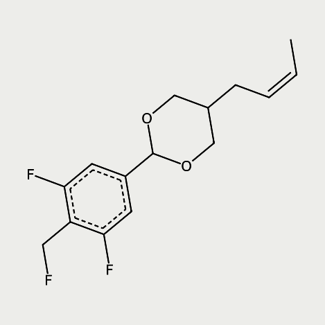 C/C=C\CC1COC(c2cc(F)c(CF)c(F)c2)OC1